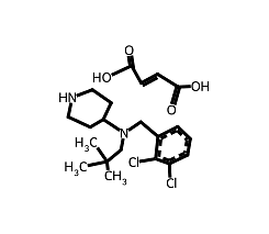 CC(C)(C)CN(Cc1cccc(Cl)c1Cl)C1CCNCC1.O=C(O)C=CC(=O)O